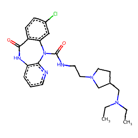 CCN(CC)CC1CCN(CCNC(=O)N2c3cc(Cl)ccc3C(=O)Nc3cccnc32)C1